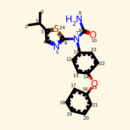 CC(C)c1cnc(N(C(N)=O)c2ccc(Oc3ccccc3)cc2)s1